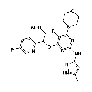 COCC(Oc1nc(Nc2cc(C)[nH]n2)nc(N2CCOCC2)c1F)c1ccc(F)cn1